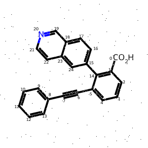 O=C(O)c1cccc(C#Cc2ccccc2)c1-c1ccc2cnccc2c1